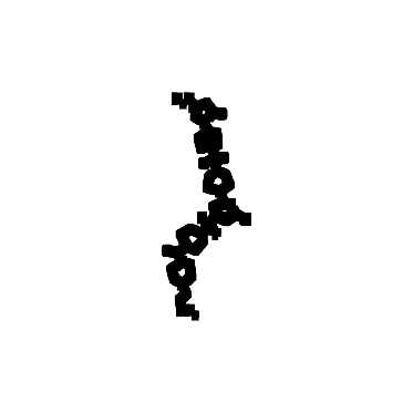 NCCN1CCN(C(=O)C2CCC(C(F)(F)c3cc(Cl)nc(N4CCN(S(=O)(=O)c5ccc(N6C[C@H](N)CC6=O)cc5)CC4)c3)CC2)CC1